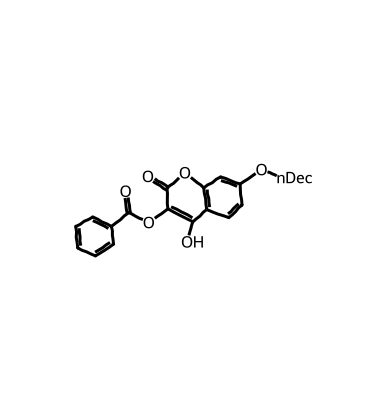 CCCCCCCCCCOc1ccc2c(O)c(OC(=O)c3ccccc3)c(=O)oc2c1